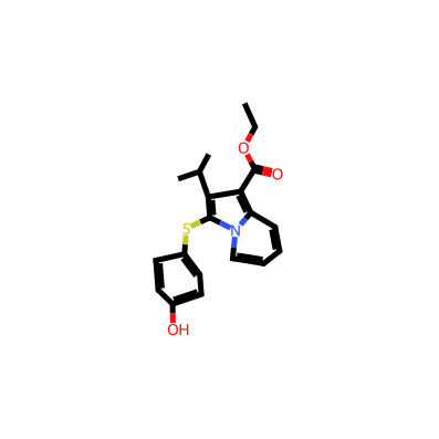 CCOC(=O)c1c(C(C)C)c(Sc2ccc(O)cc2)n2ccccc12